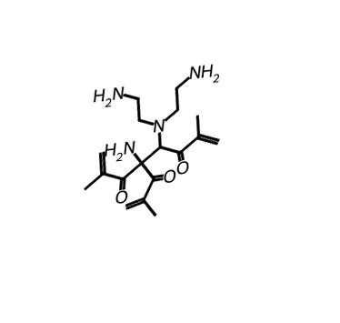 C=C(C)C(=O)C(N(CCN)CCN)C(N)(C(=O)C(=C)C)C(=O)C(=C)C